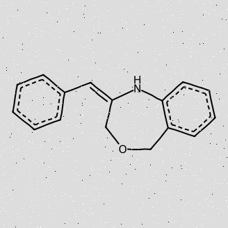 C(=C1/COCc2ccccc2N1)/c1ccccc1